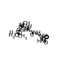 Cc1noc(NC(=O)OC(C)(C)C)c1-c1noc(CCC(=O)NCCCNc2n[nH]c(=O)c3ccccc23)n1